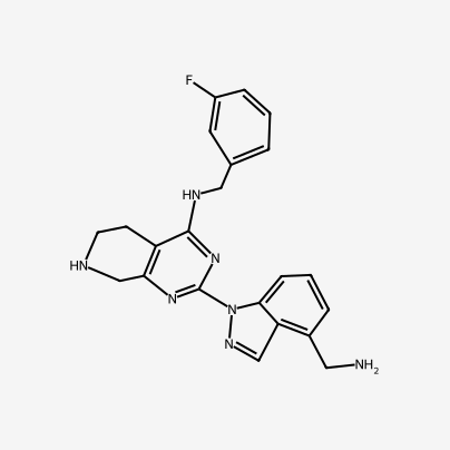 NCc1cccc2c1cnn2-c1nc2c(c(NCc3cccc(F)c3)n1)CCNC2